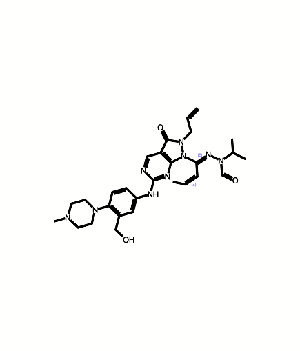 C=CCn1c(=O)c2cnc(Nc3ccc(N4CCN(C)CC4)c(CO)c3)nc2n1C(/C=C\C)=N/N(C=O)C(C)C